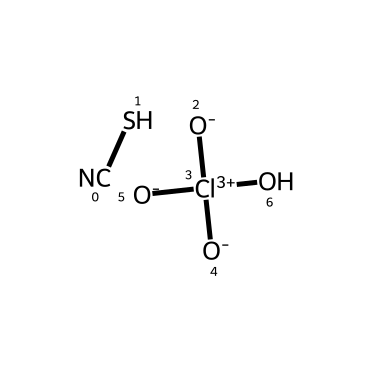 N#CS.[O-][Cl+3]([O-])([O-])O